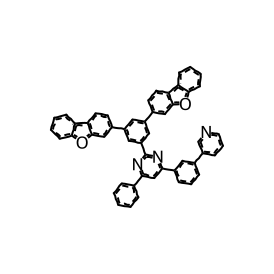 c1ccc(-c2cc(-c3cccc(-c4cccnc4)c3)nc(-c3cc(-c4ccc5c(c4)oc4ccccc45)cc(-c4ccc5c(c4)oc4ccccc45)c3)n2)cc1